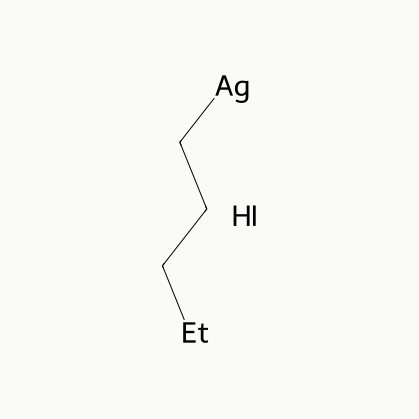 CCCC[CH2][Ag].I